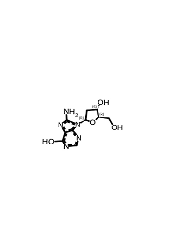 Nc1nc2c(O)ncnc2n1[C@H]1C[C@H](O)[C@@H](CO)O1